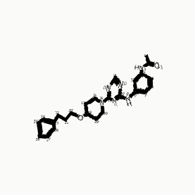 CC(=O)Nc1cccc(Nc2ncnc(N3CCC(OCCCc4ccccc4)CC3)n2)c1